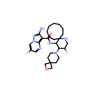 Nc1nn2cc(F)cnc2c1C(=O)NC1C(N2CCC3(CC2)COC3)C(F)CNC12CCCCCCCC2